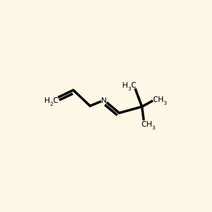 C=CC/N=C/C(C)(C)C